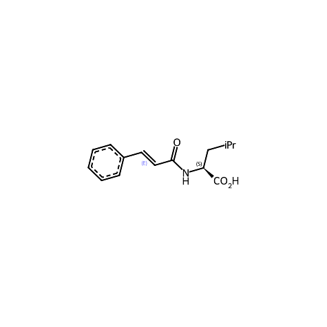 CC(C)C[C@H](NC(=O)/C=C/c1ccccc1)C(=O)O